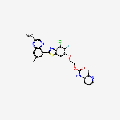 COc1cnc2c(-c3nc4c(Cl)c(F)c(OCCOC(=O)Nc5cccnc5C)cc4s3)cc(C)cc2n1